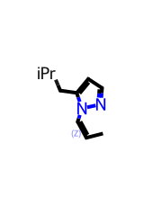 C/C=C\n1nccc1CC(C)C